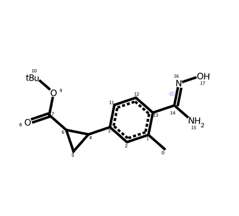 Cc1cc(C2CC2C(=O)OC(C)(C)C)ccc1/C(N)=N/O